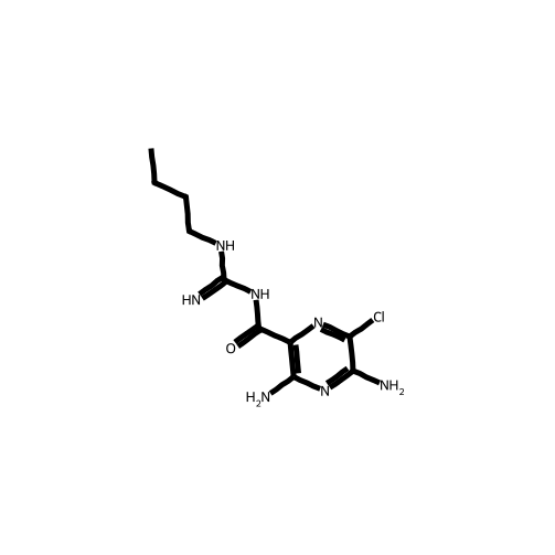 CCCCNC(=N)NC(=O)c1nc(Cl)c(N)nc1N